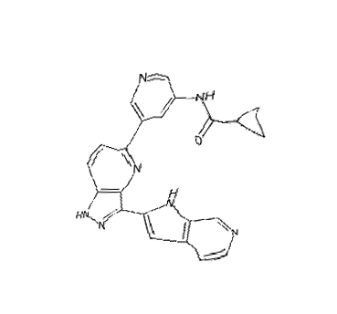 O=C(Nc1cncc(-c2ccc3[nH]nc(-c4cc5ccncc5[nH]4)c3n2)c1)C1CC1